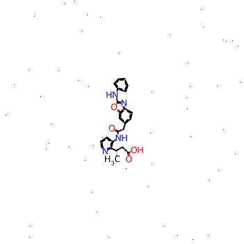 C[C@@H](CC(=O)O)c1ncccc1NC(=O)Cc1ccc2nc(Nc3ccccc3)oc2c1